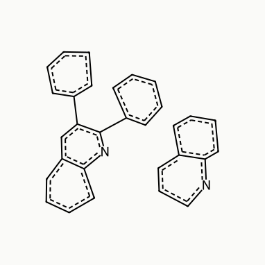 c1ccc(-c2cc3ccccc3nc2-c2ccccc2)cc1.c1ccc2ncccc2c1